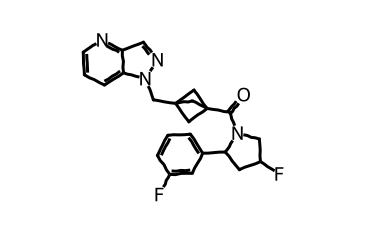 O=C(N1CC(F)CC1c1cccc(F)c1)C12CC(Cn3ncc4ncccc43)(C1)C2